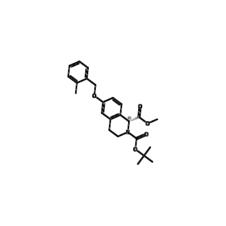 COC(=O)[C@H]1c2ccc(OCc3ccccc3C)cc2CCN1C(=O)OC(C)(C)C